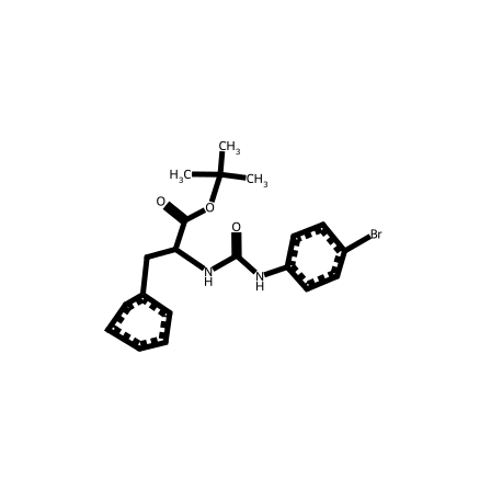 CC(C)(C)OC(=O)C(Cc1ccccc1)NC(=O)Nc1ccc(Br)cc1